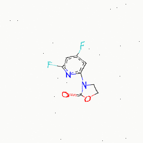 O=C1OCCN1c1cc(F)cc(F)n1